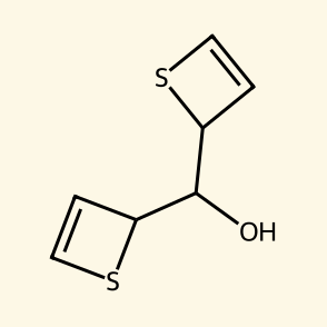 OC(C1C=CS1)C1C=CS1